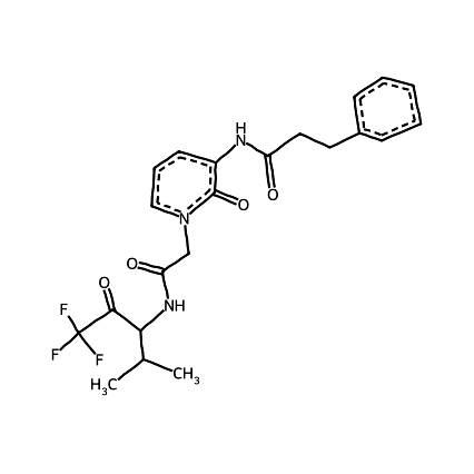 CC(C)C(NC(=O)Cn1cccc(NC(=O)CCc2ccccc2)c1=O)C(=O)C(F)(F)F